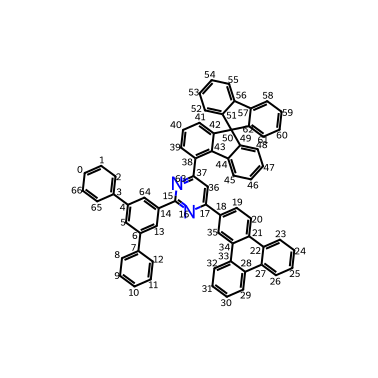 c1ccc(-c2cc(-c3ccccc3)cc(-c3nc(-c4ccc5c6ccccc6c6ccccc6c5c4)cc(-c4cccc5c4-c4ccccc4C54c5ccccc5-c5ccccc54)n3)c2)cc1